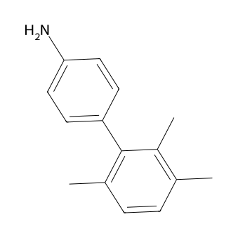 Cc1ccc(C)c(-c2ccc(N)cc2)c1C